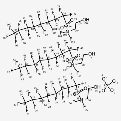 O=P([O-])([O-])[O-].O=S(=O)(C(F)(F)C(F)(F)C(F)(F)C(F)(F)C(F)(F)C(F)(F)C(F)(F)C(F)(F)F)[N+](F)(F)CCO.O=S(=O)(C(F)(F)C(F)(F)C(F)(F)C(F)(F)C(F)(F)C(F)(F)C(F)(F)C(F)(F)F)[N+](F)(F)CCO.O=S(=O)(C(F)(F)C(F)(F)C(F)(F)C(F)(F)C(F)(F)C(F)(F)C(F)(F)C(F)(F)F)[N+](F)(F)CCO